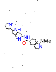 CNc1nccc2cc(C(=O)Nc3cc4[nH]c([C@H]5CCCN5C)cc4cn3)ccc12